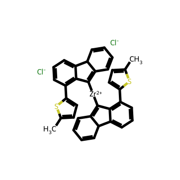 Cc1ccc(-c2cccc3c2[C]([Zr+2][C]2=C4C=CC=CC4c4cccc(-c5ccc(C)s5)c42)=C2C=CC=CC23)s1.[Cl-].[Cl-]